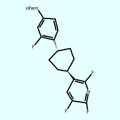 CCCCCc1ccc([C@H]2CC[C@H](c3cc(F)c(F)nc3F)CC2)c(F)c1